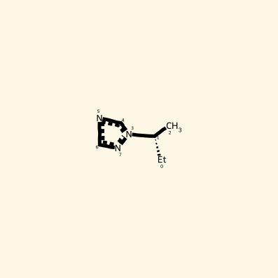 CC[C@@H](C)n1cncn1